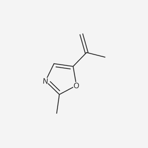 C=C(C)c1cnc(C)o1